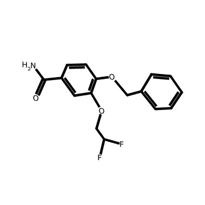 NC(=O)c1ccc(OCc2ccccc2)c(OCC(F)F)c1